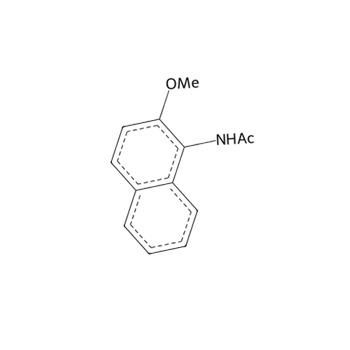 COc1ccc2ccccc2c1NC(C)=O